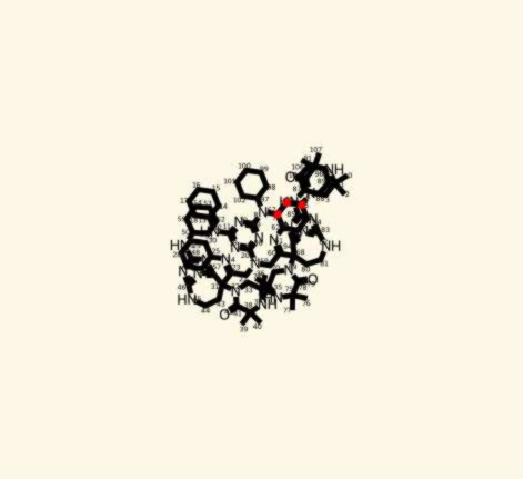 CC1(C)CN(CCCN(c2nc(NC3CCCCC3)nc(N(CC(=NC3CCCCC3)C3(N4CC(C)(C)NC(C)(C)C4=O)CCNc4nc(NC5CCCCC5)nc3n4)CC(=NC3CCCCC3)C3(N4CC(C)(C)NC(C)(C)C4=O)CCNc4nc(NC5CCCCC5)nc3n4)n2)C2CCCCC2)C(=O)C(C)(C)N1